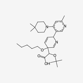 CCCCCOC1(C(OC(C)(C)C)C(=O)O)C=CC(c2cnc(C)cc2N2CCC(C)(C)CC2)N=C1